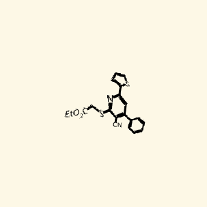 CCOC(=O)CSc1nc(-c2cccs2)cc(-c2ccccc2)c1C#N